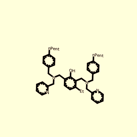 CCCCCc1ccc(CN(Cc2ccccn2)Cc2ccc(CC)c(CN(Cc3ccc(CCCCC)cc3)Cc3ccccn3)c2O)cc1